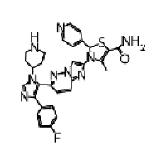 CC1=C(C(N)=O)SC(c2ccncc2)N1c1cn2nc(-c3c(-c4ccc(F)cc4)ncn3C3CCNCC3)ccc2n1